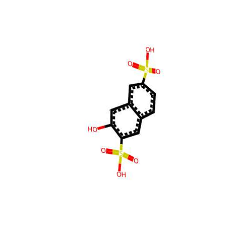 O=S(=O)(O)c1ccc2cc(S(=O)(=O)O)c(O)[c]c2c1